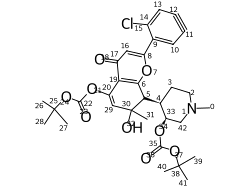 CN1CC[C@H](C2c3oc(-c4cc#ccc4Cl)cc(=O)c3C(OC(=O)OC(C)(C)C)=CC2(C)O)[C@H](OC(=O)OC(C)(C)C)C1